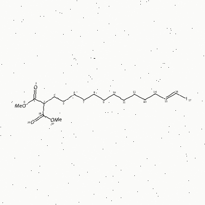 COC(=O)C(CCCCCCCCCCCC=CI)C(=O)OC